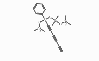 C#CC#CC#C[Si](O[SiH](C)C)(O[Si](C)(C)O[SiH](C)C)c1ccccc1